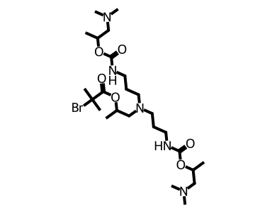 CC(CN(C)C)OC(=O)NCCCN(CCCNC(=O)OC(C)CN(C)C)CC(C)OC(=O)C(C)(C)Br